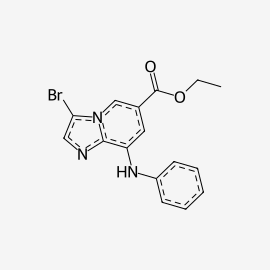 CCOC(=O)c1cc(Nc2ccccc2)c2ncc(Br)n2c1